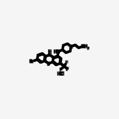 Cl.NCCN1CCC(Nc2cc(C(F)(F)F)cc3c2Nc2ccc(Br)cc2S3)CC1